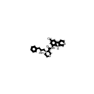 N[C@H](Cc1ccccc1)CN1CCOCC1C(=O)Nc1cc(Cl)cc2c1[nH]c1cnccc12